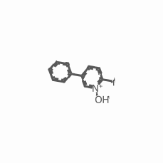 O[n+]1cc(-c2ccccc2)ccc1I